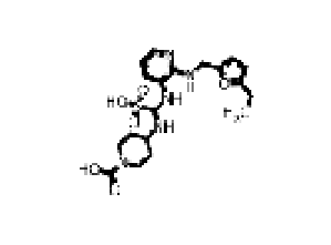 CCc1ccc(CNc2ncccc2NC(NC2CCN(C(=O)O)CC2)S(=O)(=O)O)o1